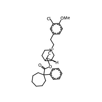 COc1ccc(CC[N+]23CCC(CC2)[C@@H](OC(=O)C2(c4ccccc4)CCCCCC2)C3)cc1Cl